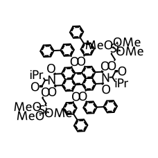 CO[Si](CCOC(=O)C(C(C)C)N1C(=O)c2cc(Oc3cccc(-c4ccccc4)c3)c3c4c(Oc5cccc(-c6ccccc6)c5)cc5c6c(cc(Oc7cccc(-c8ccccc8)c7)c(c7c(Oc8cccc(-c9ccccc9)c8)cc(c2c37)C1=O)c64)C(=O)N(C(C(=O)OCC[Si](OC)(OC)OC)C(C)C)C5=O)(OC)OC